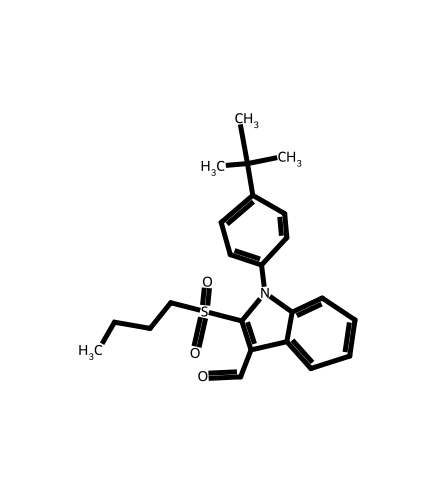 CCCCS(=O)(=O)c1c(C=O)c2ccccc2n1-c1ccc(C(C)(C)C)cc1